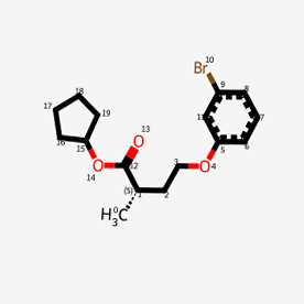 C[C@@H](CCOc1cccc(Br)c1)C(=O)OC1CCCC1